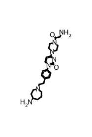 NCC(=O)N1CCN(c2ccn(-c3ccc(CCN4CCCC(N)CC4)cc3)c(=O)n2)CC1